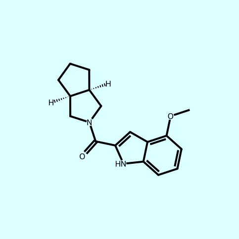 COc1cccc2[nH]c(C(=O)N3C[C@H]4CCC[C@H]4C3)cc12